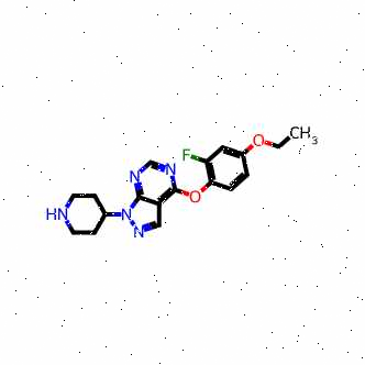 CCOc1ccc(Oc2ncnc3c2cnn3C2CCNCC2)c(F)c1